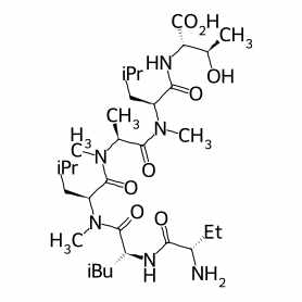 CC[C@H](N)C(=O)N[C@H](C(=O)N(C)[C@@H](CC(C)C)C(=O)N(C)[C@@H](C)C(=O)N(C)[C@@H](CC(C)C)C(=O)N[C@H](C(=O)O)[C@@H](C)O)[C@@H](C)CC